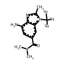 [2H]C([2H])([2H])n1c(C)nc2c(N)cc(C(=O)N(C)C)cc21